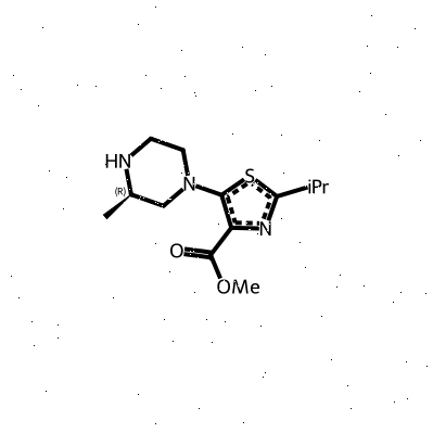 COC(=O)c1nc(C(C)C)sc1N1CCN[C@H](C)C1